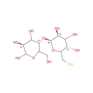 OCC1OC(O)[C@@H](O)C(O)[C@@H]1O[C@@H]1OC(CS)[C@@H](O)C(O)[C@@H]1O